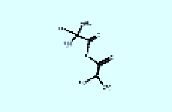 CCC(N)(N)C(=O)OC(=O)C(C)O